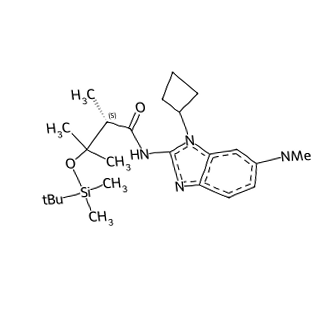 CNc1ccc2nc(NC(=O)[C@@H](C)C(C)(C)O[Si](C)(C)C(C)(C)C)n(C3CCC3)c2c1